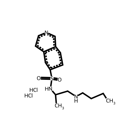 CCCCNCC(C)NS(=O)(=O)c1ccc2cnccc2c1.Cl.Cl